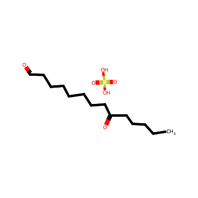 CCCCCC(=O)CCCCCCCC=O.O=S(=O)(O)O